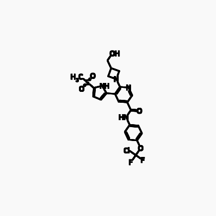 CS(=O)(=O)c1ccc(-c2cc(C(=O)Nc3ccc(OC(F)(F)Cl)cc3)cnc2N2CC(CO)C2)[nH]1